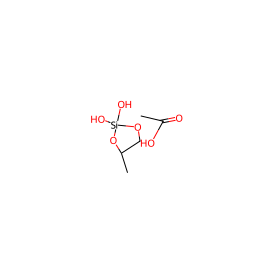 CC(=O)O.CC1CO[Si](O)(O)O1